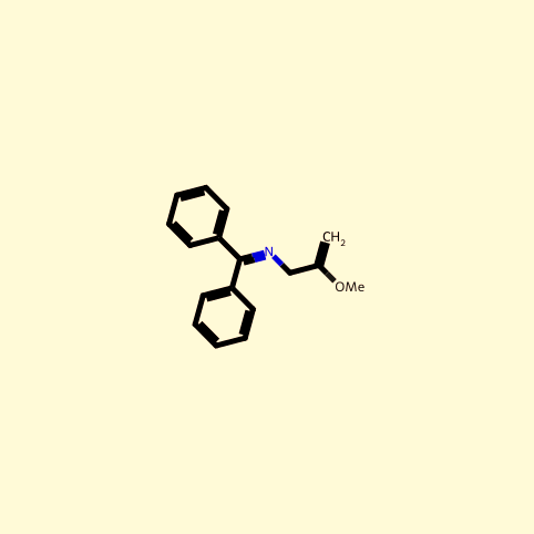 C=C(CN=C(c1ccccc1)c1ccccc1)OC